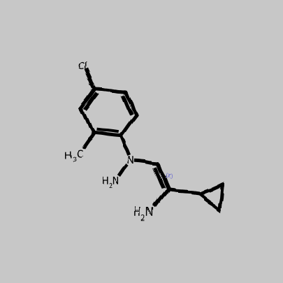 Cc1cc(Cl)ccc1N(N)/C=C(\N)C1CC1